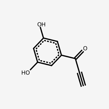 C#CC(=O)c1cc(O)cc(O)c1